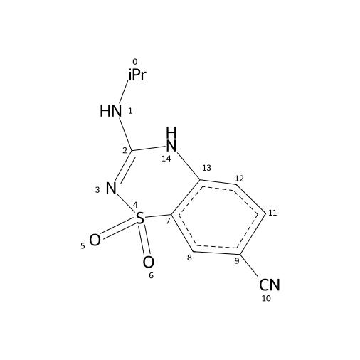 CC(C)NC1=NS(=O)(=O)c2cc(C#N)ccc2N1